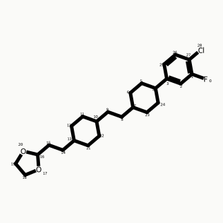 Fc1cc(C2CCC(CCC3CCC(CCC4OCCO4)CC3)CC2)ccc1Cl